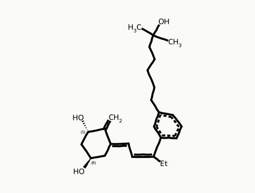 C=C1C(=CC=C(CC)c2cccc(CCCCCC(C)(C)O)c2)C[C@@H](O)C[C@@H]1O